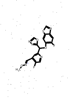 CO/N=C/c1cc(C(Oc2cc3scnc3cc2F)c2nnco2)ncc1F